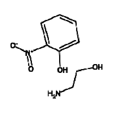 NCCO.O=[N+]([O-])c1ccccc1O